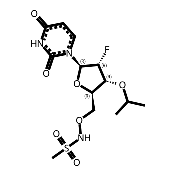 CC(C)O[C@H]1[C@@H](F)[C@H](n2ccc(=O)[nH]c2=O)O[C@@H]1CONS(C)(=O)=O